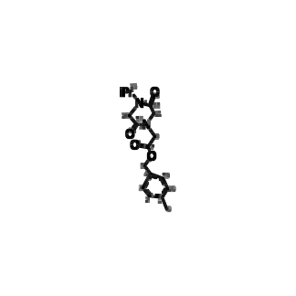 Cc1ccc(COC(=O)CN2CC(=O)N(C(C)C)CC2=O)cc1